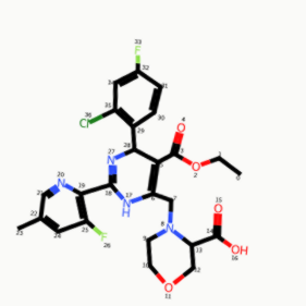 CCOC(=O)C1=C(CN2CCOCC2C(=O)O)NC(c2ncc(C)cc2F)=NC1c1ccc(F)cc1Cl